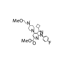 COCCN(C)C1CCN(c2cc(C(=O)OC)nc3c2c(C2CCC2)nn3-c2ccc(F)cc2)CC1